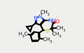 Cc1ccc(C)c(C2SC(C)(C)C(=O)Nc3c2c(C2CC2)nn3C)c1